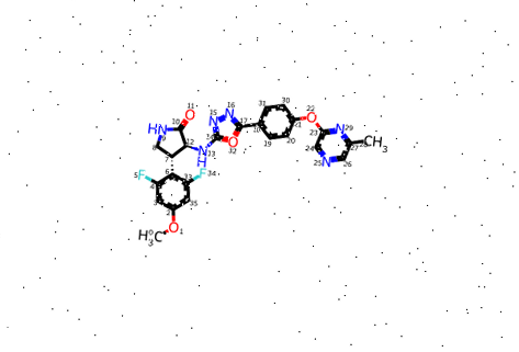 COc1cc(F)c([C@@H]2CNC(=O)[C@H]2Nc2nnc(-c3ccc(Oc4cncc(C)n4)cc3)o2)c(F)c1